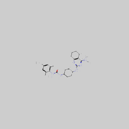 Cc1cc(C)c(NC(=O)NC2CCC(Nc3nc4c(c(N(C)C)n3)CCCC4)CC2)c(C)c1